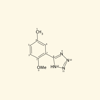 COc1ccc(C)cc1-c1nnn[nH]1